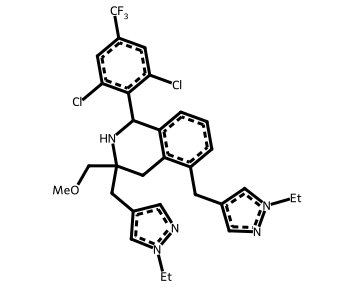 CCn1cc(Cc2cccc3c2CC(COC)(Cc2cnn(CC)c2)NC3c2c(Cl)cc(C(F)(F)F)cc2Cl)cn1